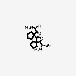 CC(C)[C@H](N)C(=O)C1(C(=O)C2(C(=O)[C@@H](N)C(C)C)CCCC2)CCCC1